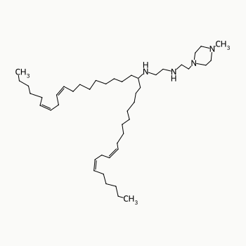 CCCCC/C=C\C/C=C\CCCCCCCCC(CCCCCCCC/C=C\C/C=C\CCCCC)NCCNCCN1CCN(C)CC1